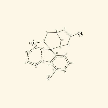 CC1CC2CC(C)C3(c4ccccc4-c4c(Cl)cccc43)C(C1)C2